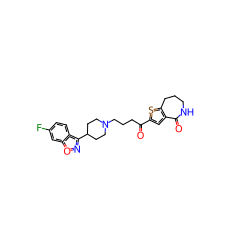 O=C(CCCN1CCC(c2noc3cc(F)ccc23)CC1)c1cc2c(s1)CCCNC2=O